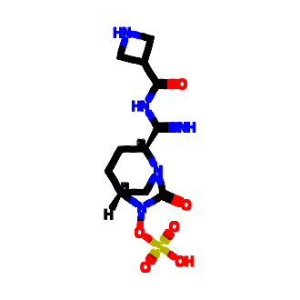 N=C(NC(=O)C1CNC1)[C@@H]1CC[C@@H]2CN1C(=O)N2OS(=O)(=O)O